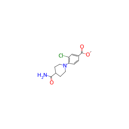 COC(=O)c1ccc(N2CCC(C(N)=O)CC2)c(Cl)c1